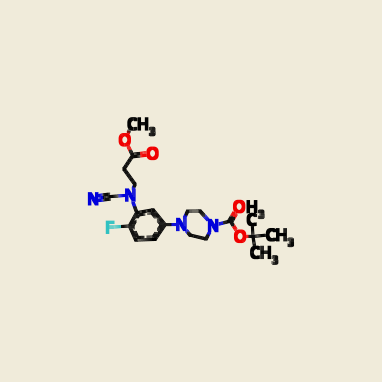 COC(=O)CCN(C#N)c1cc(N2CCN(C(=O)OC(C)(C)C)CC2)ccc1F